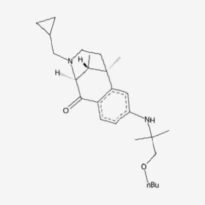 CCCCOCC(C)(C)Nc1ccc2c(c1)[C@]1(C)CCN(CC3CC3)[C@H](C2=O)[C@@H]1C